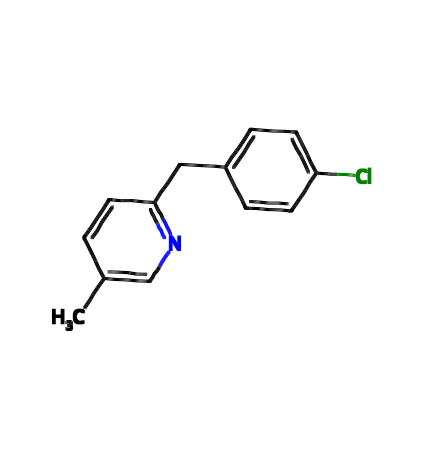 Cc1ccc(Cc2ccc(Cl)cc2)nc1